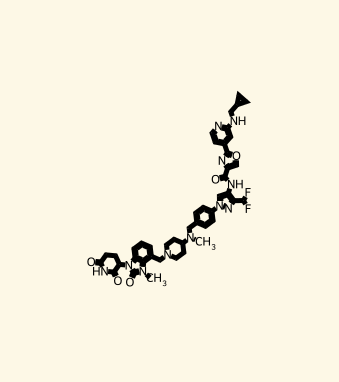 CN(Cc1ccc(-n2cc(NC(=O)c3coc(-c4ccnc(NCC5CC5)c4)n3)c(C(F)F)n2)cc1)C1CCN(Cc2cccc3c2n(C)c(=O)n3C2CCC(=O)NC2=O)CC1